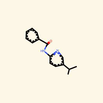 CC(C)c1ccc(NC(=O)c2ccccc2)nc1